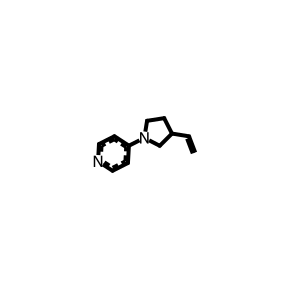 C=CC1CCN(c2ccncc2)C1